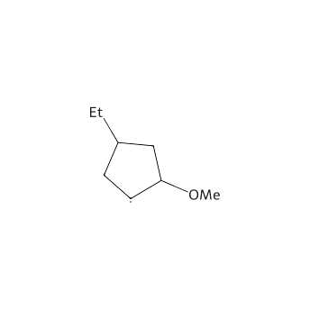 CCC1C[CH]C(OC)C1